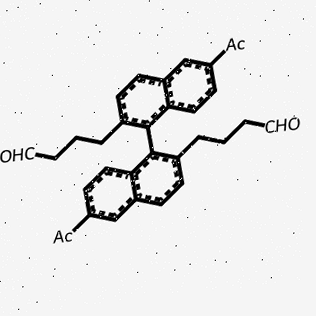 CC(=O)c1ccc2c(-c3c(CCCC=O)ccc4cc(C(C)=O)ccc34)c(CCCC=O)ccc2c1